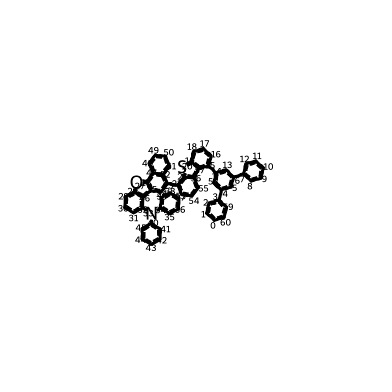 c1ccc(-c2cc(-c3ccccc3)cc(-c3cccc4sc5c(-c6cc7c(oc8cccc(N(c9ccccc9)c9ccccc9)c87)c7ccccc67)cccc5c34)c2)cc1